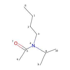 CCCCN(C(C)=O)C(C)C